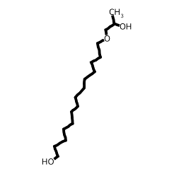 CC(O)COCCCCCCCCCCCCCCO